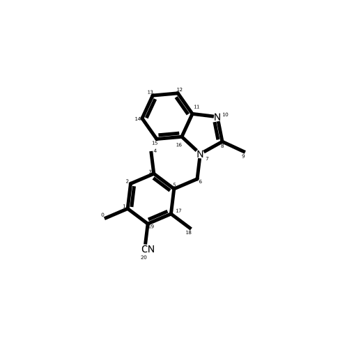 Cc1cc(C)c(Cn2c(C)nc3ccccc32)c(C)c1C#N